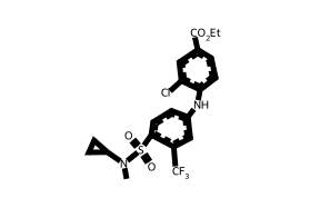 CCOC(=O)c1ccc(Nc2ccc(S(=O)(=O)N(C)C3CC3)c(C(F)(F)F)c2)c(Cl)c1